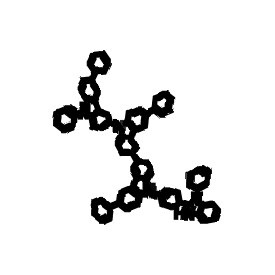 c1ccc(-c2ccc3c(c2)c2cc(-c4ccc5c(c4)c4cc(-c6ccccc6)ccc4n5-c4ccc5c(c4)c4cc(-c6ccccc6)ccc4n5-c4ccccc4)ccc2n3-c2ccc(C3Nc4ccccc4N3c3ccccc3)cc2)cc1